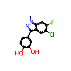 Cn1nc(-c2ccc(O)c(O)c2)c2cc(Cl)c(F)cc21